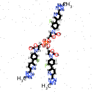 Cn1nnc(-c2ccc(-c3ccc(N4C[C@H](COP(=O)(OC[C@H]5CN(c6ccc(-c7ccc(-c8nnn(C)n8)nc7)c(F)c6)C(=O)O5)OC[C@H]5CN(c6ccc(-c7ccc(-c8nnn(C)n8)nc7)c(F)c6)C(=O)O5)OC4=O)cc3F)cn2)n1